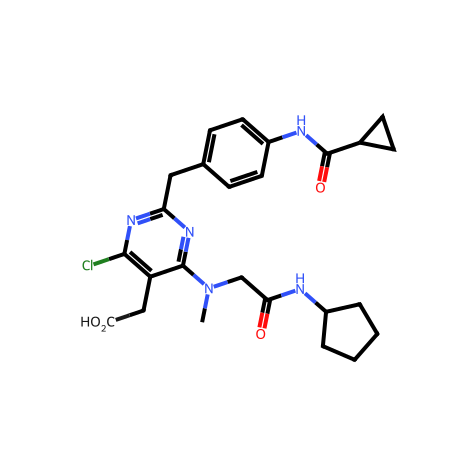 CN(CC(=O)NC1CCCC1)c1nc(Cc2ccc(NC(=O)C3CC3)cc2)nc(Cl)c1CC(=O)O